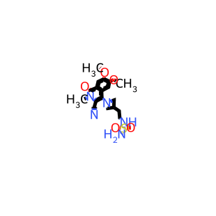 COc1cc2c(N3CC(CCNS(N)(=O)=O)C3)c(C#N)n(C)c(=O)c2cc1OC